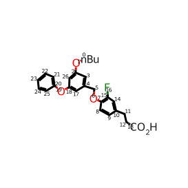 CCCCOc1cc(COc2ccc(CCC(=O)O)cc2F)cc(Oc2ccccc2)c1